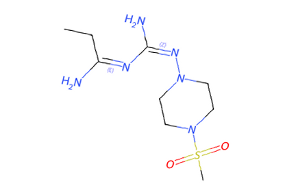 CC/C(N)=N\C(N)=N/N1CCN(S(C)(=O)=O)CC1